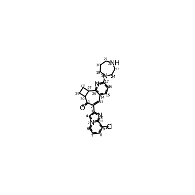 O=C1C(c2cn3cccc(Cl)c3n2)=Cc2ccc(N3CCCNCC3)nc2C2CCC12